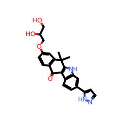 CC1(C)c2cc(OCC(O)CO)ccc2C(=O)c2c1[nH]c1cc(-c3ccn[nH]3)ccc21